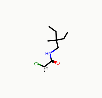 CCC(C)(CC)CNC(=O)[C@H](C)Cl